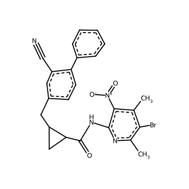 Cc1nc(NC(=O)C2CC2Cc2ccc(-c3ccccc3)c(C#N)c2)c([N+](=O)[O-])c(C)c1Br